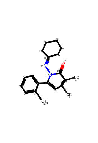 [C-]#[N+]c1c(C(F)(F)F)cc(-c2ccccc2C)n(N=C2CCCCC2)c1=O